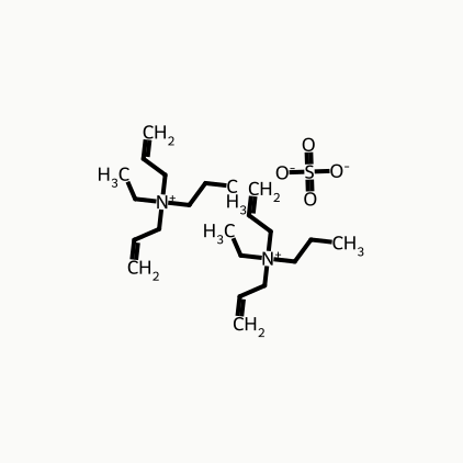 C=CC[N+](CC)(CC=C)CCC.C=CC[N+](CC)(CC=C)CCC.O=S(=O)([O-])[O-]